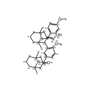 COc1ccc(CN2C3(C)CCCC2(C)C(c2cc(CN4C5(C)CCCC4(C)CC(=O)C5)ccc2OC)/C(=N/O)C3)cc1